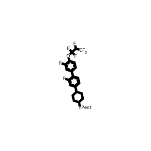 CCCCCC1CCC(c2ccc(-c3ccc(OC(F)(F)C(F)C(F)(F)F)c(F)c3)c(F)c2)CC1